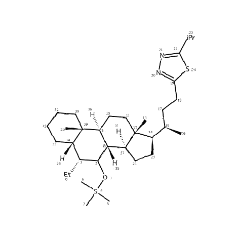 CC[C@H]1C(O[Si](C)(C)C)[C@@H]2[C@H](CC[C@]3(C)[C@@H]([C@H](C)CCc4nnc(C(C)C)s4)CC[C@@H]23)[C@@]2(C)CCCC[C@@H]12